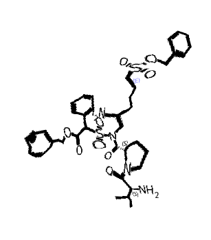 CC(C)[C@H](N)C(=O)N1CCC[C@H]1C(=O)N(CC(N)CC/C=C/S(=O)(=O)OCc1ccccc1)S(=O)(=O)C(C(=O)OCc1ccccc1)c1ccccc1